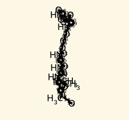 CN(CCCC=O)c1ccc2c(c1)OC(C)(C)c1cc(Nc3cncc(NC(=O)c4ccc(NC(=O)COCCOCCOCCNc5cccc6c5C(=O)N(C5CCC(=O)NC5=O)C6=O)cc4)c3)ncc1-2